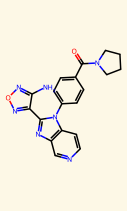 Nc1nonc1-c1nc2cnccc2n1-c1ccc(C(=O)N2CCCC2)cc1